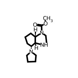 COC(=O)N1CCN[C@@H]2[C@H](N3CCCC3)CCC[C@@H]21